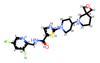 O=C(NCc1ncc(F)cc1F)c1cnc(N2CCC(N3CCCC4(COC4)C3)CC2)s1